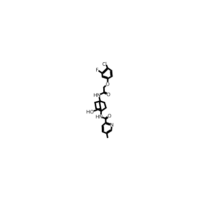 Cc1ccc(C(=O)NC23CCC(NC(=O)COc4ccc(Cl)c(F)c4)(CC2)CC3O)nc1